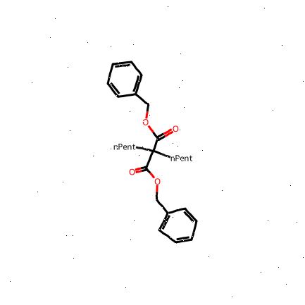 CCCCCC(CCCCC)(C(=O)OCc1ccccc1)C(=O)OCc1ccccc1